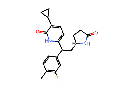 Cc1ccc(C(C[C@H]2CCC(=O)N2)c2ccc(C3CC3)c(=O)[nH]2)cc1F